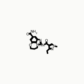 CCc1nn(C)cc1C(=O)Nc1nc2cc(C(N)=O)cc3c2n1CCCO3